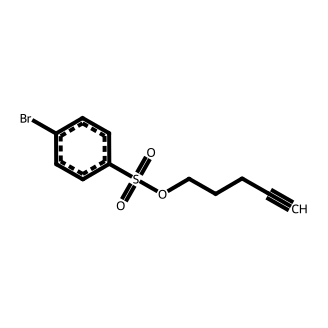 C#CCCCOS(=O)(=O)c1ccc(Br)cc1